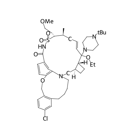 CCOC1(N2CCN(C(C)(C)C)CC2)/C=C/C[C@H](C)[C@@H](CCOC)S(=O)(=O)NC(=O)c2ccc3c(c2)N(CCCCc2cc(Cl)ccc2CO3)C[C@@H]2CC[C@H]21